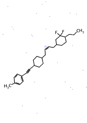 CCCC1CCC(C/C=C\CC2CCC(C#Cc3ccc(C)cc3)CC2)CC1(F)F